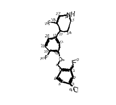 Fc1cc(Cl)ccc1COc1cc(C2CCNCC2F)ccc1F